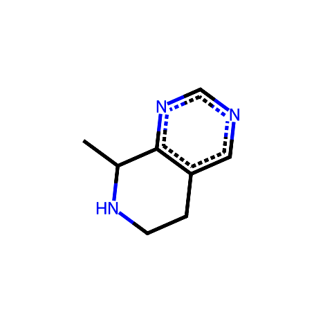 CC1NCCc2cncnc21